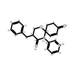 O=C1C=CC2(CC1)OCC(Cc1ccccc1)C(=O)N2c1cccnc1